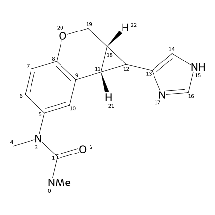 CNC(=O)N(C)c1ccc2c(c1)[C@H]1C(c3c[nH]cn3)[C@H]1CO2